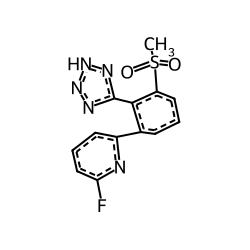 CS(=O)(=O)c1cccc(-c2cccc(F)n2)c1-c1nn[nH]n1